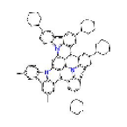 Cc1ccc2c(c1)c1cc(C)cc3c1n2-c1cc2c4c5c1B3c1cc(C3CCCCC3)cc3c6cc(C7CCCCC7)cc(c6n-5c13)B4c1cc(C3CCCCC3)cc3c4cc(C5CCCCC5)ccc4n-2c13